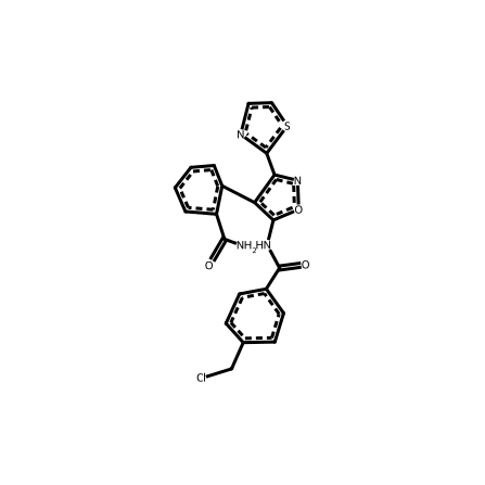 NC(=O)c1ccccc1-c1c(-c2nccs2)noc1NC(=O)c1ccc(CCl)cc1